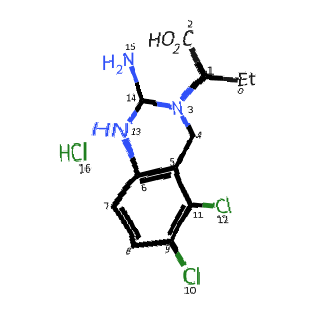 CCC(C(=O)O)N1Cc2c(ccc(Cl)c2Cl)NC1N.Cl